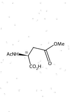 COC(=O)C[C@H](NC(C)=O)C(=O)O